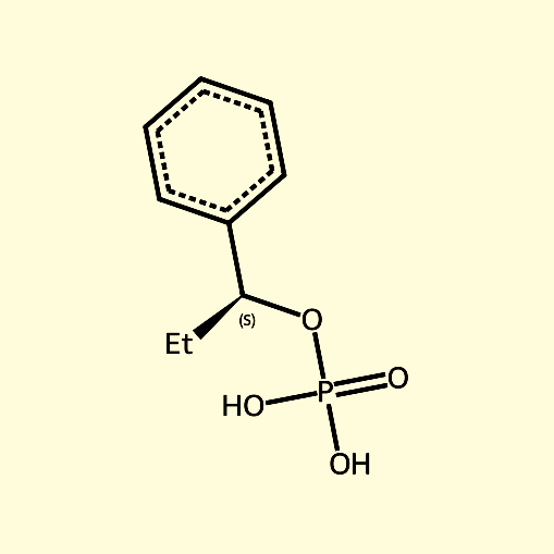 CC[C@H](OP(=O)(O)O)c1ccccc1